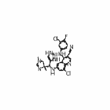 CN1C=NC(C)([C@H](Nc2cc(Cl)c3ncc(C#N)c(Nc4ccc(F)c(Cl)c4)c3c2)C2=CNNN2)C1